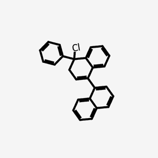 ClC1(c2ccccc2)CC=C(c2cccc3ccccc23)c2ccccc21